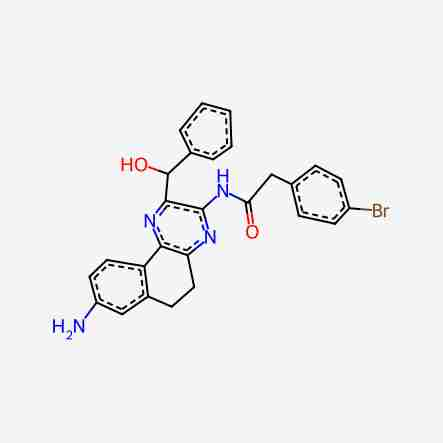 Nc1ccc2c(c1)CCc1nc(NC(=O)Cc3ccc(Br)cc3)c(C(O)c3ccccc3)nc1-2